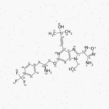 CCn1c(-c2nonc2N)nc2c(C#CC(C)(C)O)nc(OC[C@@H](N)Cc3ccc(C(F)(F)F)cc3)cc21